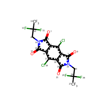 O=c1c2c(Cl)c3c(=O)n(CC(F)(F)C(F)(F)F)c(=O)c3c(Cl)c2c(=O)n1CC(F)(F)C(F)(F)F